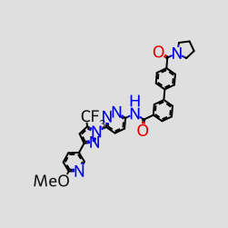 COc1ccc(-c2cc(C(F)(F)F)n(-c3ccc(NC(=O)c4cccc(-c5ccc(C(=O)N6CCCC6)cc5)c4)nn3)n2)cn1